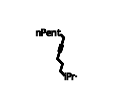 CCCCCCC#CCCC[C](C)C